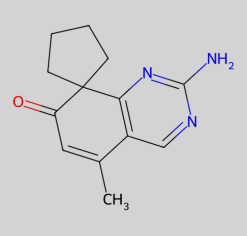 CC1=CC(=O)C2(CCCC2)c2nc(N)ncc21